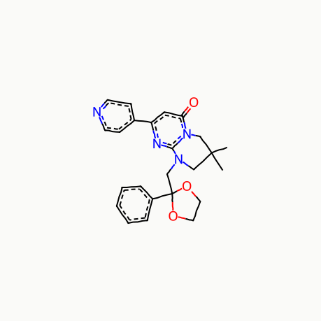 CC1(C)CN(CC2(c3ccccc3)OCCO2)c2nc(-c3ccncc3)cc(=O)n2C1